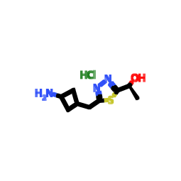 C[C@H](O)c1nnc(CC2CC(N)C2)s1.Cl